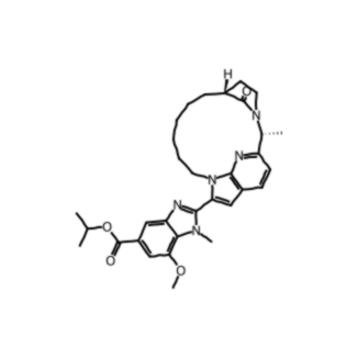 COc1cc(C(=O)OC(C)C)cc2nc(-c3cc4ccc5nc4n3CCCCCC[C@@H]3CCN(C3=O)[C@@H]5C)n(C)c12